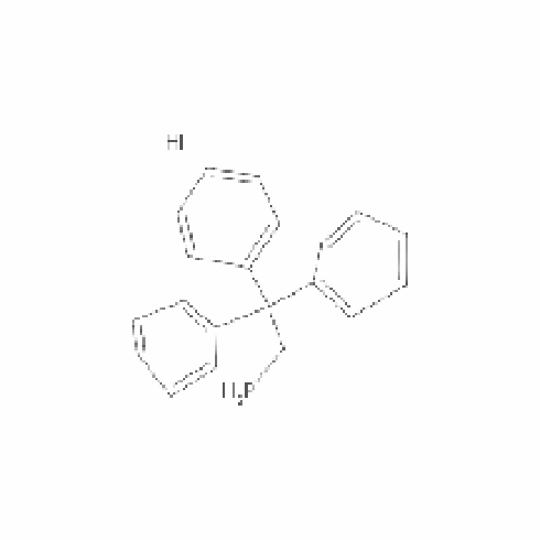 I.PCC(c1ccccc1)(c1ccccc1)c1ccccc1